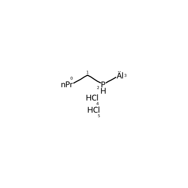 CCCC[PH][Al].Cl.Cl